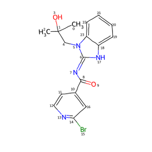 CC(C)(O)Cn1/c(=N/C(=O)c2ccnc(Br)c2)[nH]c2ccccc21